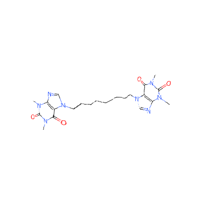 Cn1c(=O)c2c(ncn2CCCCCCCCn2cnc3c2c(=O)n(C)c(=O)n3C)n(C)c1=O